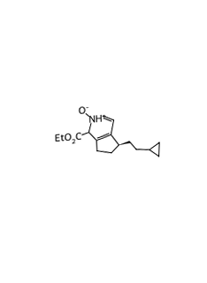 CCOC(=O)C1C2=C(C=C[NH+]1[O-])[C@@H](CCC1CC1)CC2